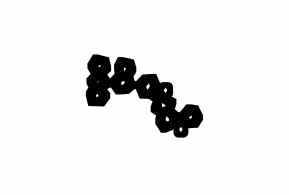 c1ccc2c(-c3ccc(-c4ccc5oc6cc7c(ccc8oc9ccccc9c87)cc6c5c4)c4ccccc34)c3ccccc3cc2c1